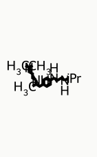 CC(C)NCCNc1ccc(CC(C)NCCCN(C)C)cc1